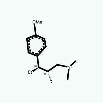 CC[C@@H](c1ccc(OC)cc1)[C@@H](C)CN(C)C